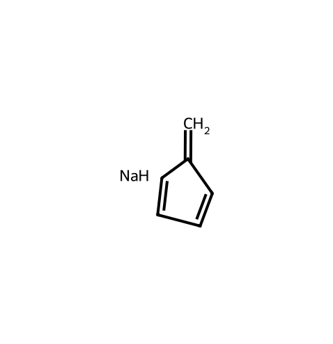 C=C1C=CC=C1.[NaH]